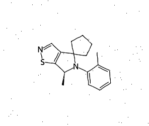 Cc1ccccc1N1[C@@H](C)c2sncc2C12CCCC2